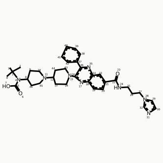 CC(C)(C)N(C(=O)O)C1CCN(C2CCN(c3nc4ccc(C(=O)NCCCn5ccnc5)cc4nc3-c3ccccc3)CC2)CC1